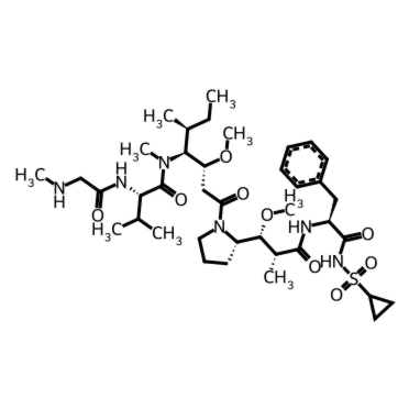 CC[C@H](C)[C@@H]([C@@H](CC(=O)N1CCC[C@H]1[C@H](OC)[C@@H](C)C(=O)N[C@@H](Cc1ccccc1)C(=O)NS(=O)(=O)C1CC1)OC)N(C)C(=O)[C@@H](NC(=O)CNC)C(C)C